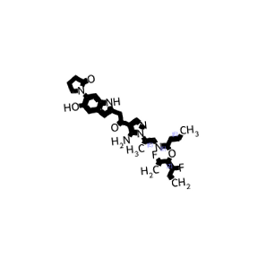 C=C/C(F)=C(/OC(/C=C/C)=N/C=C(\C)n1ncc(C(=O)Cc2cc3cc(O)c(N4CCCC4=O)cc3[nH]2)c1N)C(=C)F